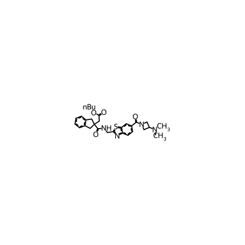 CCCCOC(=O)CC1(C(=O)NCc2nc3ccc(C(=O)N4CC(N(C)C)C4)cc3s2)Cc2ccccc2C1